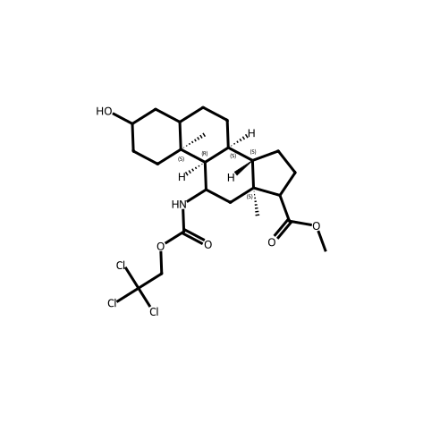 COC(=O)C1CC[C@H]2[C@@H]3CCC4CC(O)CC[C@]4(C)[C@@H]3C(NC(=O)OCC(Cl)(Cl)Cl)C[C@]12C